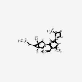 C=Cc1c(N2C[C@@H]3[C@@H](CC(=O)O)[C@@H]3C2)nc(N2CC[C@@H]2C)nc1C(F)(F)F